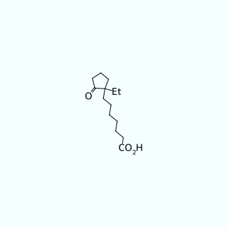 CCC1(CCCCCCC(=O)O)CCCC1=O